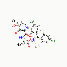 COc1ccnc(C(=O)N[C@@H](C)C(=O)ON(C)C(c2ccc(Cl)cc2)c2ccc(Cl)cc2)c1O